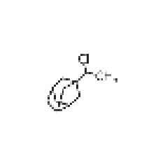 CC(Cl)C12CC3CC(C1)C(C3)C2